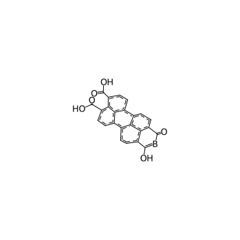 O=C(O)c1ccc2c3ccc4c5c(ccc(c6ccc(C(=O)O)c1c26)c53)C(O)=BC4=O